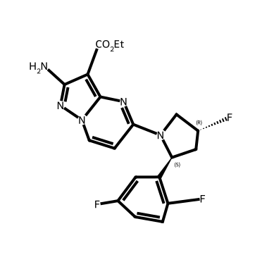 CCOC(=O)c1c(N)nn2ccc(N3C[C@H](F)C[C@H]3c3cc(F)ccc3F)nc12